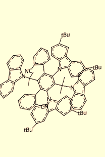 CC(C)(C)c1ccc2c(c1)c1cc(C(C)(C)C)ccc1n2-c1c(-c2ccccc2C#N)c(C(C)(C)n2c3ccccc3c3ccccc32)c(-c2ccccc2C#N)c(-n2c3ccc(C(C)(C)C)cc3c3cc(C(C)(C)C)ccc32)c1C(C)(C)n1c2ccccc2c2ccccc21